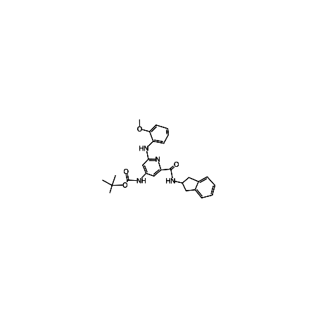 COc1ccccc1Nc1cc(NC(=O)OC(C)(C)C)cc(C(=O)NC2Cc3ccccc3C2)n1